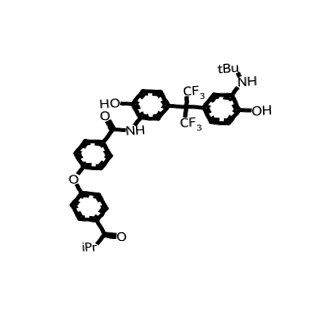 CC(C)C(=O)c1ccc(Oc2ccc(C(=O)Nc3cc(C(c4ccc(O)c(NC(C)(C)C)c4)(C(F)(F)F)C(F)(F)F)ccc3O)cc2)cc1